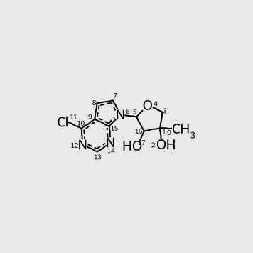 CC1(O)COC(n2ccc3c(Cl)ncnc32)C1O